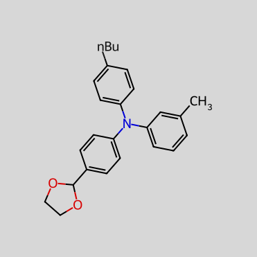 CCCCc1ccc(N(c2ccc(C3OCCO3)cc2)c2cccc(C)c2)cc1